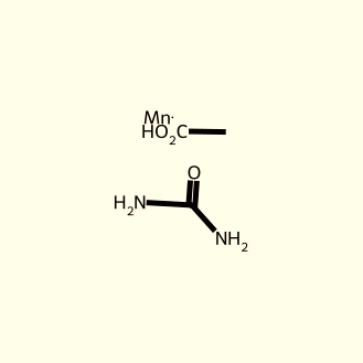 CC(=O)O.NC(N)=O.[Mn]